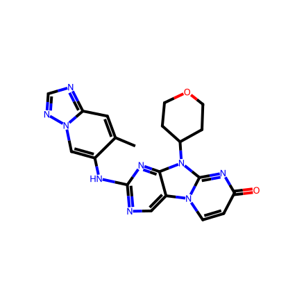 Cc1cc2ncnn2cc1Nc1ncc2c(n1)n(C1CCOCC1)c1nc(=O)ccn21